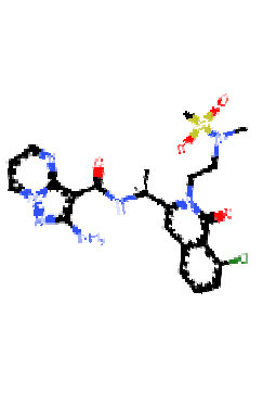 C[C@H](NC(=O)c1c(N)nn2cccnc12)c1cc2cccc(Cl)c2c(=O)n1CCN(C)S(C)(=O)=O